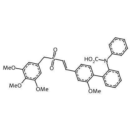 COc1cc(C=CS(=O)(=O)Cc2cc(OC)c(OC)c(OC)c2)ccc1-c1ccccc1N(C(=O)O)c1ccccc1